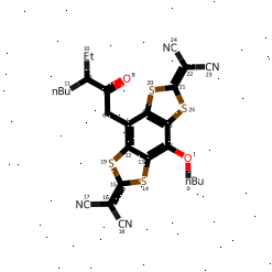 CCCCOc1c2c(c(CC(=O)C(CC)CCCC)c3c1SC(=C(C#N)C#N)S3)SC(=C(C#N)C#N)S2